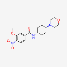 COc1cc(C(=O)N[C@H]2CC[C@H](N3CCOCC3)CC2)ccc1[N+](=O)[O-]